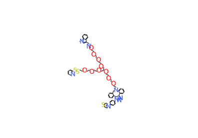 Cn1cc(/C=N/OCCOCCOCCOCC(COCCOCCOCCSSc2ccccn2)OCCOCCOCCN2Cc3ccccc3C3C(N=NN3c3ccc(N=C=S)cc3)c3ccccc32)c2ccccc21